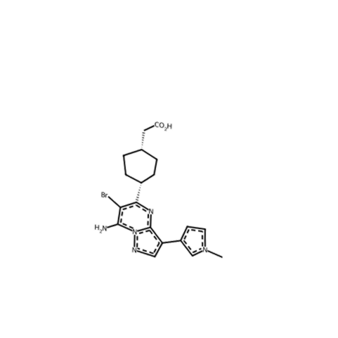 Cn1ccc(-c2cnn3c(N)c(Br)c([C@H]4CC[C@@H](CC(=O)O)CC4)nc23)c1